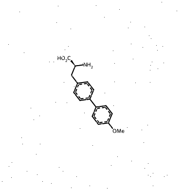 COc1ccc(-c2ccc(C[C@H](N)C(=O)O)cc2)cc1